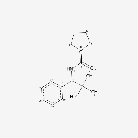 CC(C)(C)C(NC(=O)[C@H]1CCCO1)c1ccccc1